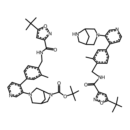 Cc1cc(-c2ccncc2N2CC3CC(C2)N(C(=O)OC(C)(C)C)C3)ccc1CNC(=O)c1cc(C(C)(C)C)on1.Cc1cc(-c2ccncc2N2CC3CNC(C3)C2)ccc1CNC(=O)c1cc(C(C)(C)C)on1